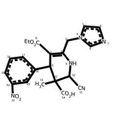 CCOC(=O)C1=C(Cn2ccnc2)NC(C#N)C(C)(C(=O)O)C1c1cccc([N+](=O)[O-])c1